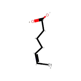 CC/C=C\CCCC([O])=O